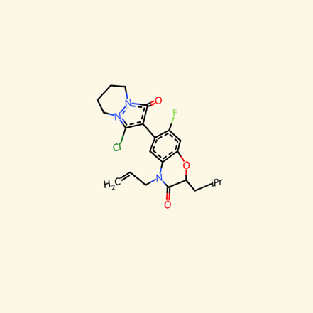 C=CCN1C(=O)C(CC(C)C)Oc2cc(F)c(-c3c(Cl)n4n(c3=O)CCCC4)cc21